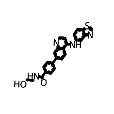 O=C(NCCO)c1ccc(-c2ccc3c(Nc4ccc5scnc5c4)ccnc3c2)cc1